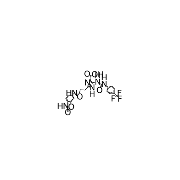 O=C(CCc1nc(C(=O)O)c(NC(=O)Nc2ccc(C(F)(F)F)cc2)[nH]1)Nc1ccc2[nH]c(=O)oc2c1